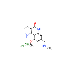 CNCc1cc(OC)c2c3c(c(=O)[nH]c2c1)CCCN3.Cl.Cl